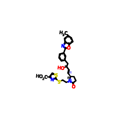 Cc1ccc2oc(-c3cccc(C[C@H](O)/C=C/[C@H]4CCC(=O)N4CCSc4nc(C(=O)O)cs4)c3)nc2c1